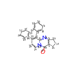 O=c1c2c(nc3c(-c4ccccc4)c(-c4ccccc4)ccn13)CCC2